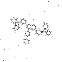 c1ccc(-c2ccc(-c3cc(-c4cccc(-n5c6ccccc6c6ccccc65)c4)nc4ccc(-c5cccc(-n6c7ccccc7c7ccccc76)c5)cc34)cc2)cc1